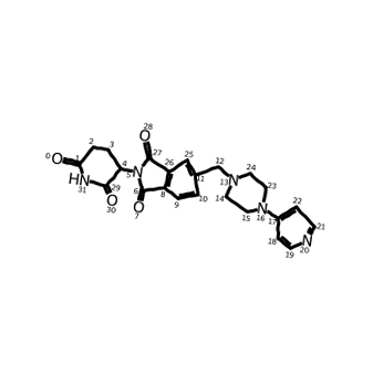 O=C1CCC(N2C(=O)c3ccc(CN4CCN(c5ccncc5)CC4)cc3C2=O)C(=O)N1